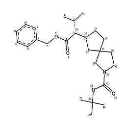 CC(C)[C@@H](C(=O)OCc1ccccc1)N1CCC2(CCN(C(=O)OC(C)(C)C)C2)C1